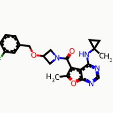 Cc1oc2ncnc(NC3(C)CC3)c2c1C(=O)N1CC(OCc2cccc(F)c2)C1